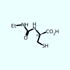 CCNC(=O)N[C@H](CS)C(=O)O